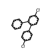 Clc1ccc(-c2ccc(Cl)cc2-c2ccccc2)cc1